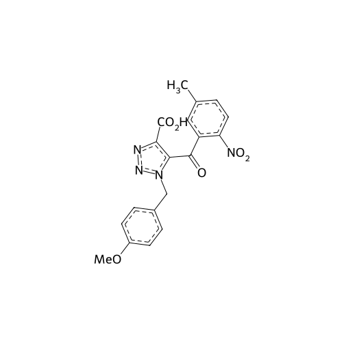 COc1ccc(Cn2nnc(C(=O)O)c2C(=O)c2cc(C)ccc2[N+](=O)[O-])cc1